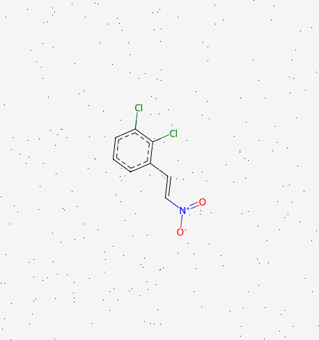 O=[N+]([O-])C=Cc1cccc(Cl)c1Cl